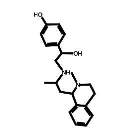 CC(CC1c2ccccc2CCN1C)NCC(O)c1ccc(O)cc1